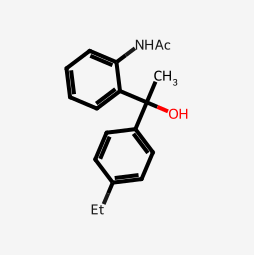 CCc1ccc(C(C)(O)c2ccccc2NC(C)=O)cc1